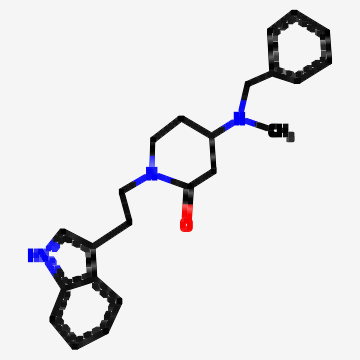 CN(Cc1ccccc1)C1CCN(CCc2c[nH]c3ccccc23)C(=O)C1